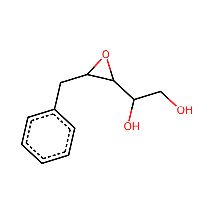 OCC(O)C1OC1Cc1ccccc1